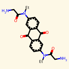 CCN(C(=O)CN)c1ccc2c(c1)C(=O)c1ccc(N(CC)C(=O)CN)cc1C2=O